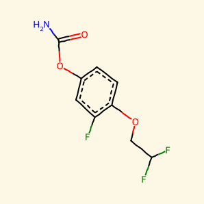 NC(=O)Oc1ccc(OCC(F)F)c(F)c1